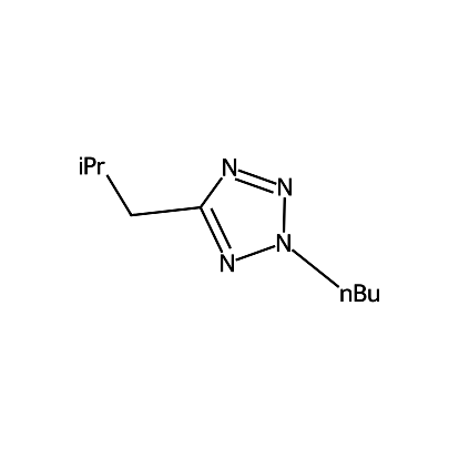 CCCCn1nnc(CC(C)C)n1